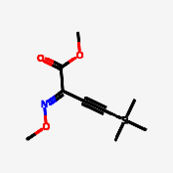 CO/N=C(\C#C[Si](C)(C)C)C(=O)OC